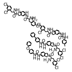 Cc1ccc(NC(=O)Nc2ccc3c(c2)CN(C(=O)C(N)Cc2ccc(Cl)cc2Cl)C3)cc1.NC(Cc1ccc(Cl)cc1Cl)C(=O)N1Cc2ccc(NC(=O)Nc3ccc(-c4ccccc4)cc3)cc2C1.NC(Cc1ccc(Cl)cc1Cl)C(=O)N1Cc2ccc(NC(=O)Nc3ccc(Oc4ccccc4)cc3)cc2C1.NC(Cc1ccc(Cl)cc1Cl)C(=O)Nc1ccc2c(c1)CN(C(=O)C(N)Cc1ccc(Cl)cc1Cl)C2